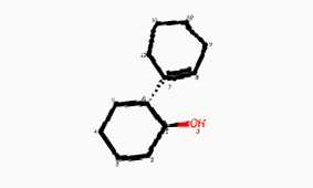 O[C@H]1CCCC[C@@H]1C1=CCCCC1